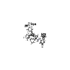 COC(=O)c1ccc(-c2c[nH]c(C3C(c4ccccc4)CCCN3C(=O)/C=C/c3cc(Cl)ccc3-n3cnnn3)n2)cc1